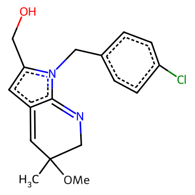 COC1(C)C=c2cc(CO)n(Cc3ccc(Cl)cc3)c2=NC1